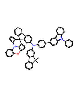 CC1(C)c2ccccc2-c2ccc(N(c3ccc(-c4ccc5c(c4)c4ccccc4n5-c4ccccc4)cc3)c3ccc4c(c3)C3(C5=C4CCC=C5)c4ccccc4N4c5ccccc5Oc5cccc3c54)cc21